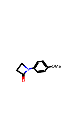 COc1ccc(N2CCC2=O)cc1